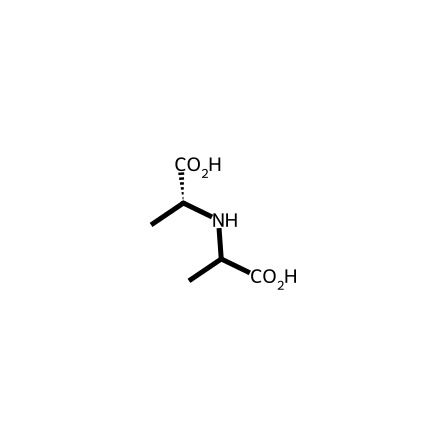 CC(N[C@H](C)C(=O)O)C(=O)O